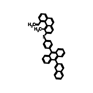 C=Cc1cccc2ccc3ccc(Sc4ccc(-c5c6ccccc6c(-c6ccc7ccccc7c6)c6ccccc56)cc4)c(C)c3c12